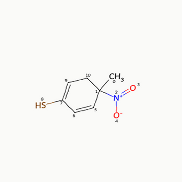 CC1([N+](=O)[O-])C=CC(S)=CC1